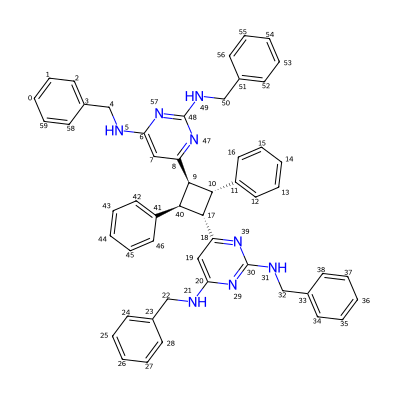 c1ccc(CNc2cc([C@H]3[C@H](c4ccccc4)[C@H](c4cc(NCc5ccccc5)nc(NCc5ccccc5)n4)[C@H]3c3ccccc3)nc(NCc3ccccc3)n2)cc1